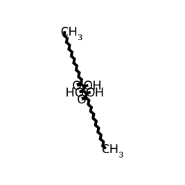 CCCCCCCCCCCCCCCC(=O)C(O)C(O)C(O)C(=O)CCCCCCCCCCCCCCC